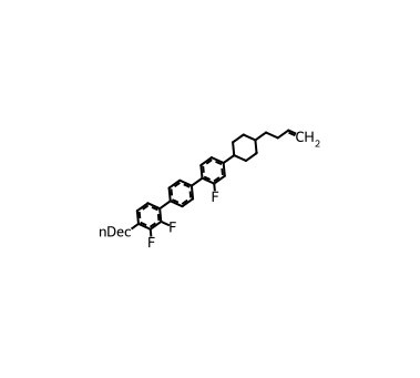 C=CCCC1CCC(c2ccc(-c3ccc(-c4ccc(CCCCCCCCCC)c(F)c4F)cc3)c(F)c2)CC1